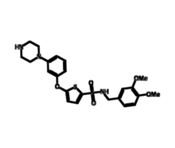 COc1ccc(CNS(=O)(=O)c2ccc(Oc3cccc(N4CCNCC4)c3)s2)cc1OC